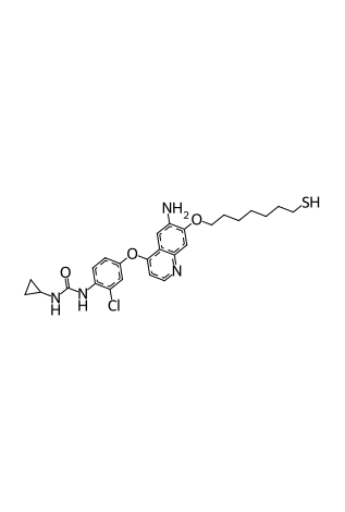 Nc1cc2c(Oc3ccc(NC(=O)NC4CC4)c(Cl)c3)ccnc2cc1OCCCCCCCS